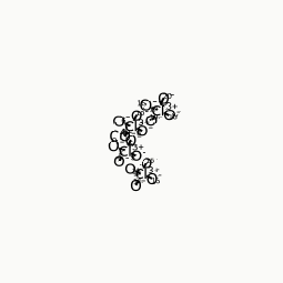 [C+4].[O-][Cl+3]([O-])([O-])[O-].[O-][Cl+3]([O-])([O-])[O-].[O-][Cl+3]([O-])([O-])[O-].[O-][Cl+3]([O-])([O-])[O-]